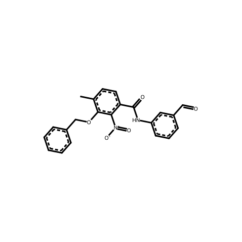 Cc1ccc(C(=O)Nc2cccc(C=O)c2)c([N+](=O)[O-])c1OCc1ccccc1